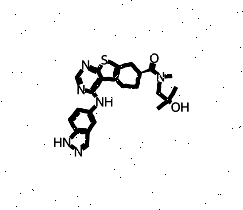 CN(CC(C)(C)O)C(=O)[C@H]1CCc2c(sc3ncnc(Nc4ccc5[nH]ncc5c4)c23)C1